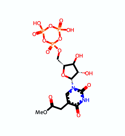 COC(=O)Cc1cn([C@@H]2O[C@H](COP3(=O)OP(=O)(O)OP(=O)(O)O3)C(O)[C@@H]2O)c(=O)[nH]c1=O